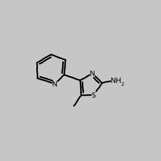 Cc1sc(N)nc1-c1ccccn1